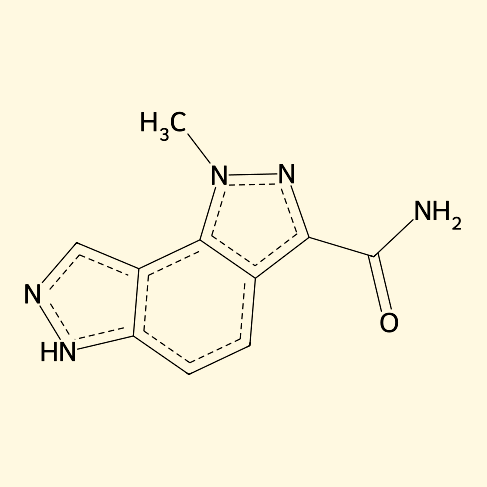 Cn1nc(C(N)=O)c2ccc3[nH]ncc3c21